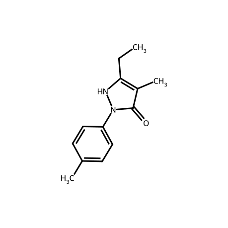 CCc1[nH]n(-c2ccc(C)cc2)c(=O)c1C